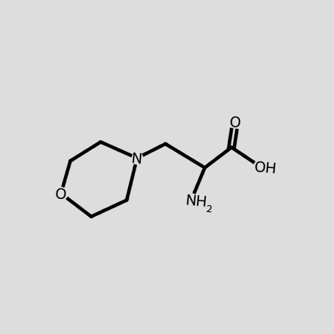 NC(CN1CCOCC1)C(=O)O